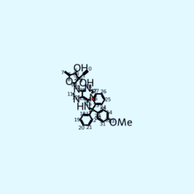 C#C[C@@]1(O)[C@H](O)C(=C)O[C@H]1n1cnc2c(NC(c3ccccc3)(c3ccccc3)c3ccc(OC)cc3)ncnc21